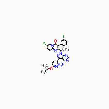 CC(C)Oc1ccc(-c2nn([C@H](C)c3nc4ccc(F)cn4c(=O)c3-c3cccc(F)c3)c3ncnc(N)c23)cn1